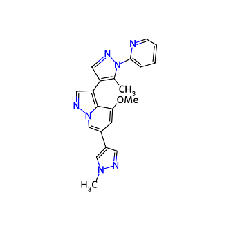 COc1cc(-c2cnn(C)c2)cn2ncc(-c3cnn(-c4ccccn4)c3C)c12